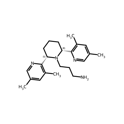 Cc1cnc([C@H]2CCC[C@@H](c3ncc(C)cc3C)N2CCCN)c(C)c1